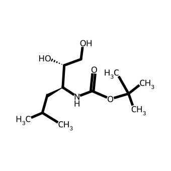 CC(C)C[C@H](NC(=O)OC(C)(C)C)[C@H](O)CO